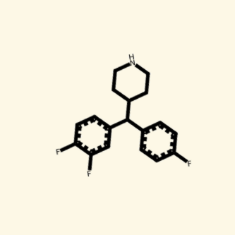 Fc1ccc(C(c2ccc(F)c(F)c2)C2CCNCC2)cc1